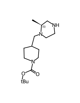 C[C@H]1CNCCN1CC1CCN(C(=O)OC(C)(C)C)CC1